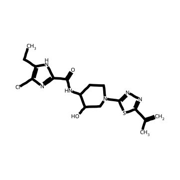 C=C(C)c1nnc(N2CCC(NC(=O)c3nc(Cl)c(CC)[nH]3)C(O)C2)s1